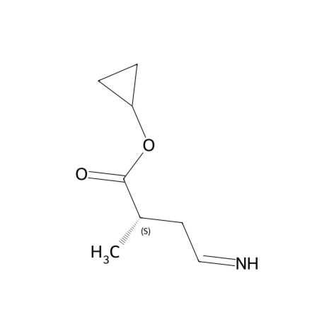 C[C@@H](CC=N)C(=O)OC1CC1